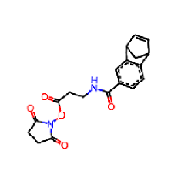 O=C(CCNC(=O)c1ccc2c(c1)C1C=CC2C1)ON1C(=O)CCC1=O